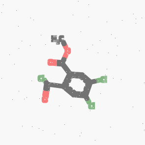 COC(=O)c1cc(Cl)c(Cl)cc1C(=O)Cl